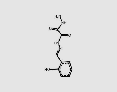 NNC(=O)C(=O)NN=Cc1ccccc1O